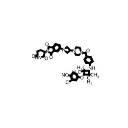 CC1(C)C(Nc2ccc(C(=O)N3CCN(C4CN(c5ccc6c(c5)C(=O)N(C5CCC(=O)NC5=O)C6=O)C4)CC3)cc2)C(C)(C)C1Oc1ccc(C#N)c(Cl)c1